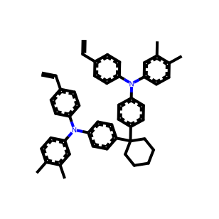 C=Cc1ccc(N(c2ccc(C3(c4ccc(N(c5ccc(C=C)cc5)c5ccc(C)c(C)c5)cc4)CCCCC3)cc2)c2ccc(C)c(C)c2)cc1